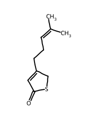 CC(C)=CCCC1=CC(=O)SC1